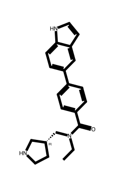 CCN(C[C@@H]1CCNC1)C(=O)c1ccc(-c2ccc3[nH]ccc3c2)cc1